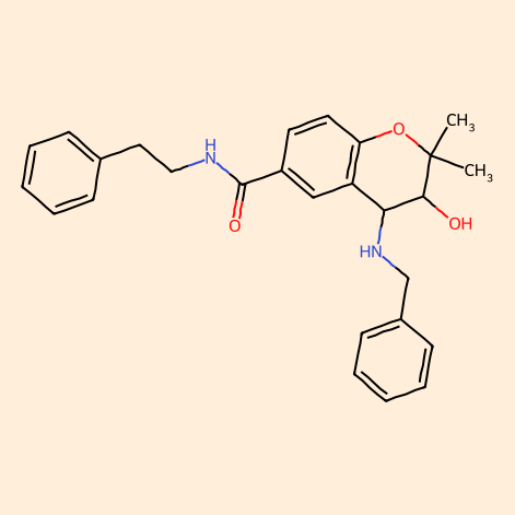 CC1(C)Oc2ccc(C(=O)NCCc3ccccc3)cc2C(NCc2ccccc2)C1O